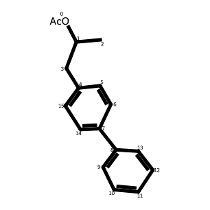 CC(=O)OC(C)Cc1ccc(-c2ccccc2)cc1